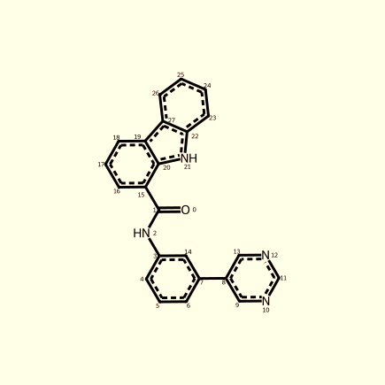 O=C(Nc1cccc(-c2cncnc2)c1)c1cccc2c1[nH]c1ccccc12